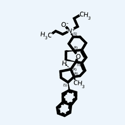 CCC[N+]([O-])(CCC)[C@H]1CCC2=CC3=CC[C@]4(C)[C@@H](c5ccc6ccccc6c5)CC[C@H]4[C@@]34CC[C@]2(C1)O4